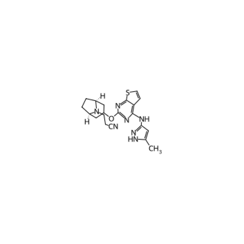 Cc1cc(Nc2nc(OC3C[C@H]4CC[C@@H](C3)N4CCC#N)nc3sccc23)n[nH]1